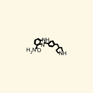 NC(=O)c1cccc2[nH]c(-c3ccc(CC4CCNCC4)cc3)nc12